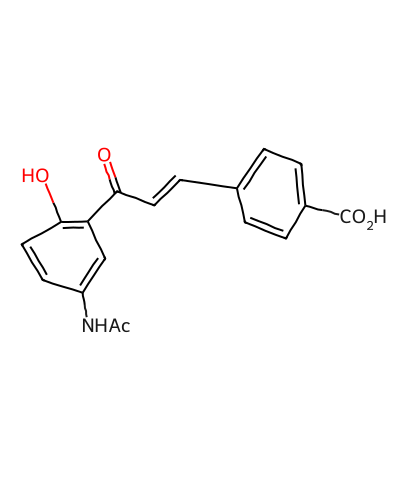 CC(=O)Nc1ccc(O)c(C(=O)C=Cc2ccc(C(=O)O)cc2)c1